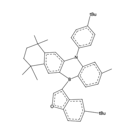 Cc1ccc2c(c1)N(c1ccc(C(C)(C)C)cc1)c1cc3c(cc1B2c1coc2ccc(C(C)(C)C)cc12)C(C)(C)CCC3(C)C